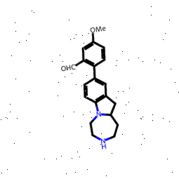 COc1ccc(-c2ccc3c(c2)CC2CCNCCN32)c(C=O)c1